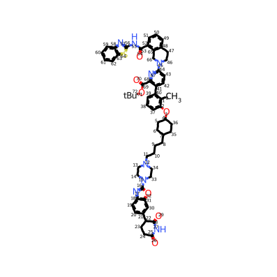 Cc1c(OC2CCC(CCCCN3CCN(c4nc5ccc(C6CCC(=O)NC6=O)cc5o4)CC3)CC2)cccc1-c1ccc(N2CCc3cccc(C(=O)Nc4nc5ccccc5s4)c3C2)nc1C(=O)OC(C)(C)C